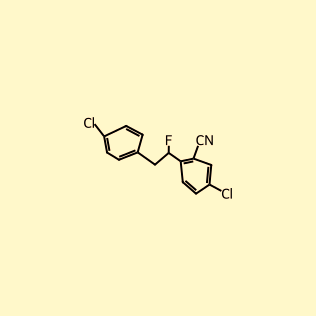 N#Cc1cc(Cl)ccc1C(F)Cc1ccc(Cl)cc1